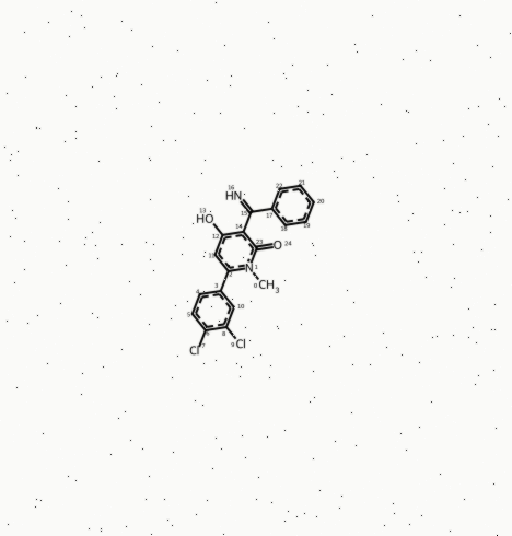 Cn1c(-c2ccc(Cl)c(Cl)c2)cc(O)c(C(=N)c2ccccc2)c1=O